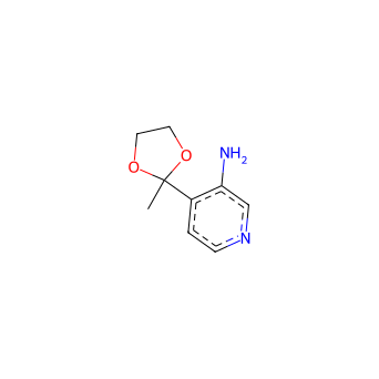 CC1(c2ccncc2N)OCCO1